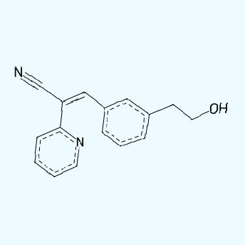 N#C/C(=C/c1cccc(CCO)c1)c1ccccn1